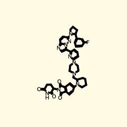 O=C1CCC(N2C(=O)c3ccc(N4CCCCC4CN4CCN(c5cccc(-c6cnc7ccc(N8CCCC8c8cccc(F)c8)nn67)n5)CC4)cc3C2=O)C(=O)N1